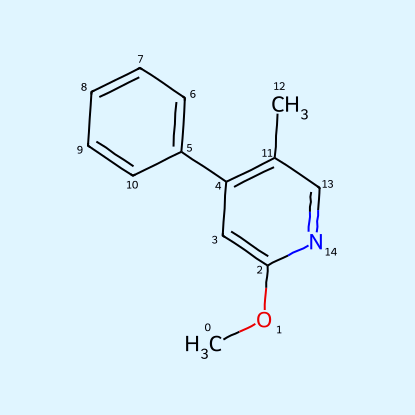 COc1cc(-c2ccccc2)c(C)cn1